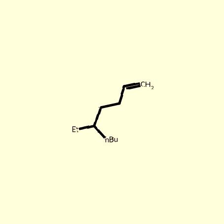 C=CC[CH]C(CC)CCCC